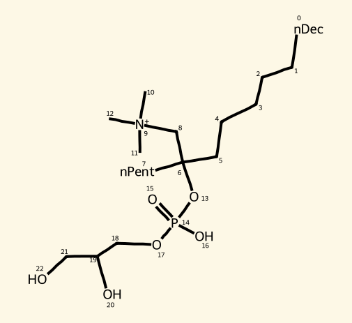 CCCCCCCCCCCCCCCC(CCCCC)(C[N+](C)(C)C)OP(=O)(O)OCC(O)CO